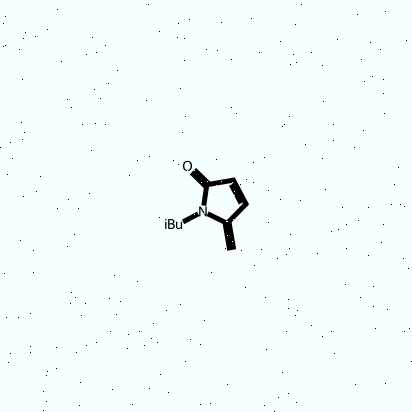 C=C1C=CC(=O)N1C(C)CC